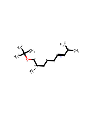 CC(C)/C=C/CCC[C@H](C)COC(C)(C)C